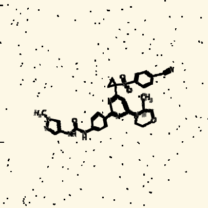 C[C@H]1COCCN1c1cc(C2(S(=O)(=O)c3ccc(C#N)cc3)CC2)nc(-c2ccc(NC(=O)Nc3cnn(C)c3)cc2)n1